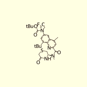 Cc1cc(C(=O)N(C)[C@@H]2CSCC(=O)N2)nc2c(C(C)(C)C)cc(N(CC(F)(F)F)C(=O)OC(C)(C)C)cc12